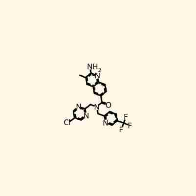 Cc1cc2cc(C(=O)N(Cc3ccc(C(F)(F)F)cn3)Cc3ncc(Cl)cn3)ccc2nc1N